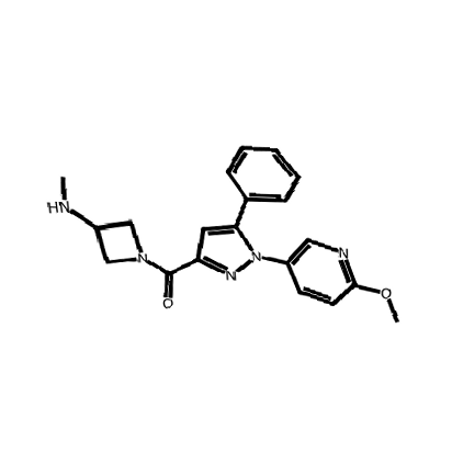 CNC1CN(C(=O)c2cc(-c3ccccc3)n(-c3ccc(OC)nc3)n2)C1